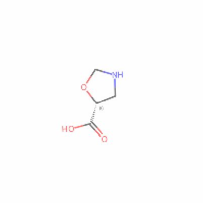 O=C(O)[C@H]1CNCO1